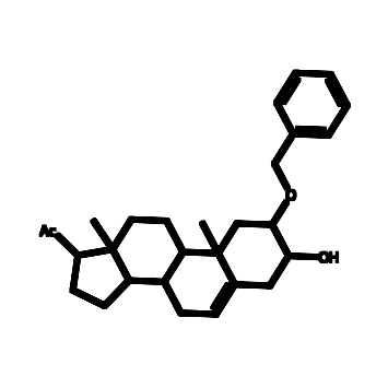 CC(=O)C1CCC2C3CC=C4CC(O)C(OCc5ccccc5)CC4(C)C3CCC12C